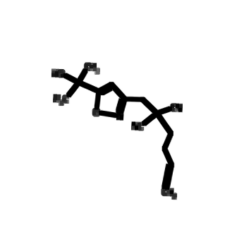 C=CCCC(C#N)(C#N)Cc1cc(C(C)(C)O)on1